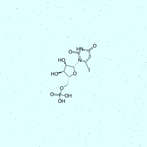 O=c1cc(I)n([C@@H]2O[C@H](COP(=O)(O)O)[C@@H](O)[C@H]2O)c(=O)[nH]1